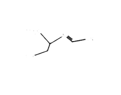 N#CC=NC(CO)C(=O)O